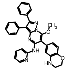 COc1c(-c2ccc3c(c2)NCCO3)c(Nc2ccccn2)nc2c(-c3ccccc3)c(-c3ccccc3)nn12